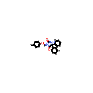 Cc1ccc(OCN2C(=O)NC(c3ccccc3)(c3ccccc3)C2=O)cc1